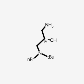 CCCN(C[C@@H](O)CN)C(C)(C)C